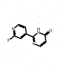 O=c1ccnc(-c2ccnc(F)c2)[nH]1